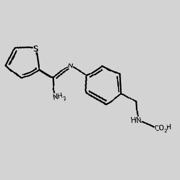 N/C(=N\c1ccc(CNC(=O)O)cc1)c1cccs1